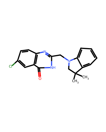 CC1(C)CN(Cc2nc3ccc(Cl)cc3c(=O)[nH]2)c2ccccc21